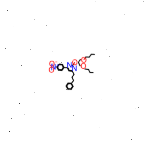 CCCCOCC(COCCCC)Oc1nc(CCCc2ccccc2)cc(-c2ccc([N+](=O)[O-])cc2)n1